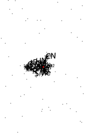 CSc1cc(CN(C(=O)OC(C)(C)C)C2(C)CCC2)cc2c1CN(c1cc([C@]3(c4nncn4C)C[C@@H](C)C3)cc(NCCC#N)n1)C2=O